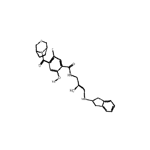 CCOc1cc(C(=O)N2C3CCC2COC3)c(F)cc1C(=O)NC[C@H](O)CNC1Cc2ccccc2C1